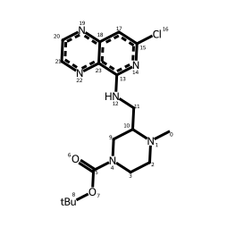 CN1CCN(C(=O)OC(C)(C)C)CC1CNc1nc(Cl)cc2nccnc12